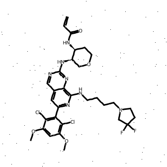 C=CC(=O)N[C@H]1CCOC[C@H]1Nc1ncc2cc(-c3c(Cl)c(OC)cc(OC)c3Cl)nc(NCCCCN3CCC(F)(F)C3)c2n1